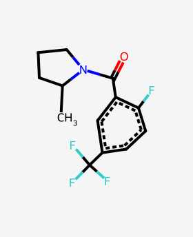 CC1CCCN1C(=O)c1cc(C(F)(F)F)ccc1F